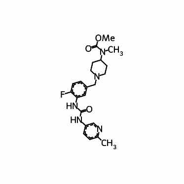 COC(=O)N(C)C1CCN(Cc2ccc(F)c(NC(=O)Nc3ccc(C)nc3)c2)CC1